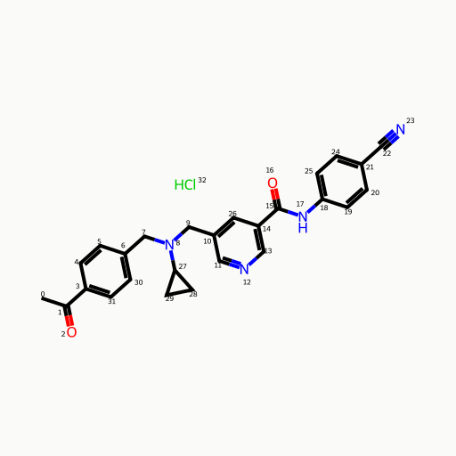 CC(=O)c1ccc(CN(Cc2cncc(C(=O)Nc3ccc(C#N)cc3)c2)C2CC2)cc1.Cl